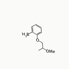 Bc1ccccc1OCC(C)OC